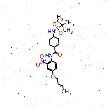 CCCCOc1ccc(NC(=O)C2CCC(NS(=O)(=O)C(C)(C)C)CC2)c([N+](=O)[O-])c1